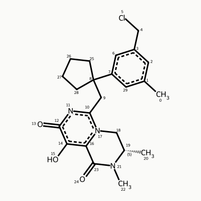 Cc1cc(CCl)cc(C2(Cc3nc(=O)c(O)c4n3C[C@H](C)N(C)C4=O)CCCC2)c1